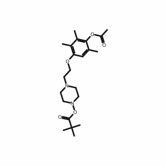 CC(=O)Oc1c(C)cc(OCCN2CCN(OC(=O)C(C)(C)C)CC2)c(C)c1C